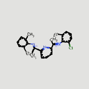 CCc1cccc(C)c1/N=C(\C)c1cccc(/C(C)=N/c2c(Cl)cccc2CC)n1